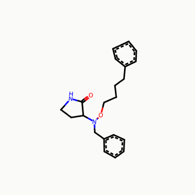 O=C1NCCC1N(Cc1ccccc1)OCCCCc1ccccc1